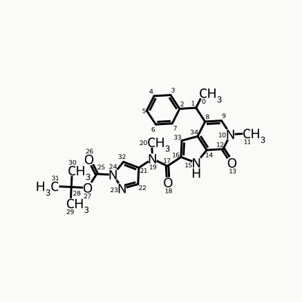 CC(c1ccccc1)c1cn(C)c(=O)c2[nH]c(C(=O)N(C)c3cnn(C(=O)OC(C)(C)C)c3)cc12